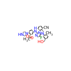 Cc1ccc(CO)cc1N(Cc1ccccc1C#N)c1nc(Nc2ccc(N3CCNCC3)c(S(C)(=O)=O)c2)ncc1F